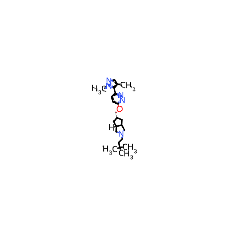 Cc1cnn(C)c1-c1ccc(OC[C@@H]2CC3CN(CCC(C)(C)C)C[C@@H]3C2)nn1